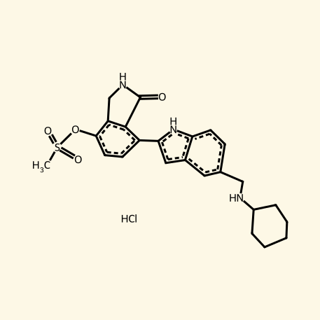 CS(=O)(=O)Oc1ccc(-c2cc3cc(CNC4CCCCC4)ccc3[nH]2)c2c1CNC2=O.Cl